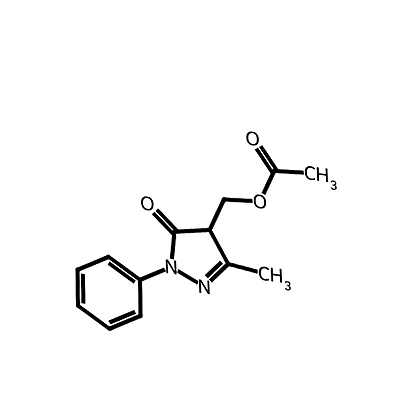 CC(=O)OCC1C(=O)N(c2ccccc2)N=C1C